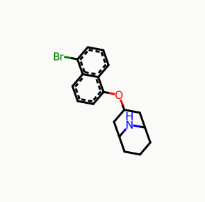 Brc1cccc2c(OC3CC4CCCC(C3)N4)cccc12